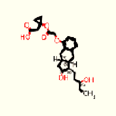 CC[C@H](O)CC[C@@H]1[C@H]2Cc3cccc(OCC(=O)OC4(CC(=O)O)CC4)c3C[C@H]2C[C@H]1O